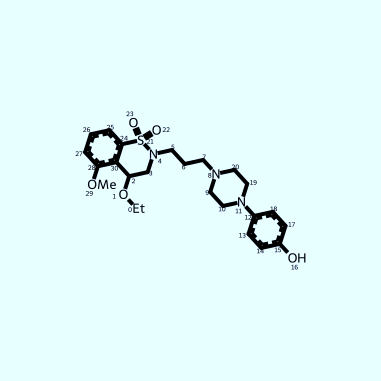 CCOC1CN(CCCN2CCN(c3ccc(O)cc3)CC2)S(=O)(=O)c2cccc(OC)c21